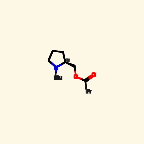 CC(C)C(=O)OC[C@@H]1CCCN1C(C)(C)C